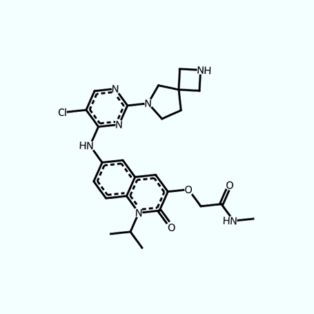 CNC(=O)COc1cc2cc(Nc3nc(N4CCC5(CNC5)C4)ncc3Cl)ccc2n(C(C)C)c1=O